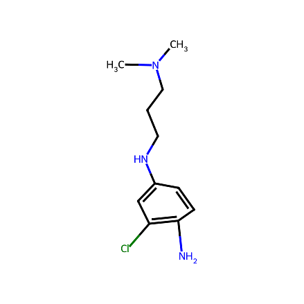 CN(C)CCCNc1ccc(N)c(Cl)c1